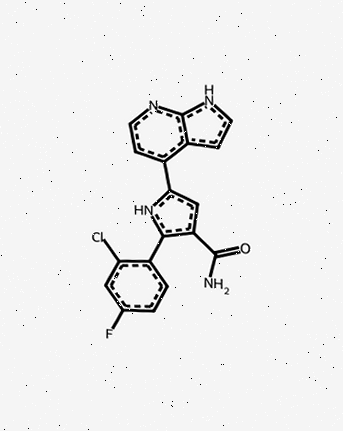 NC(=O)c1cc(-c2ccnc3[nH]ccc23)[nH]c1-c1ccc(F)cc1Cl